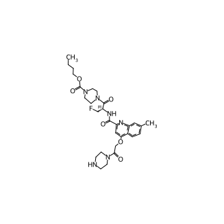 CCCCOC(=O)N1CCN(C(=O)[C@H](CF)NC(=O)c2cc(OCC(=O)N3CCNCC3)c3ccc(C)cc3n2)CC1